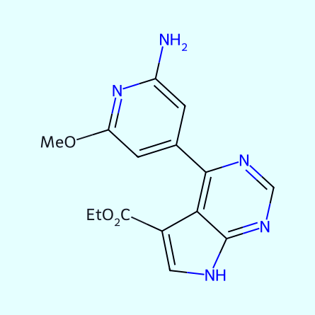 CCOC(=O)c1c[nH]c2ncnc(-c3cc(N)nc(OC)c3)c12